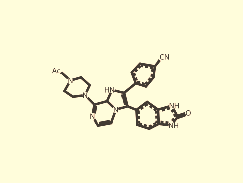 CC(=O)N1CCN(C2=NC=CN3C(c4ccc5[nH]c(=O)[nH]c5c4)=C(c4ccc(C#N)cc4)NC23)CC1